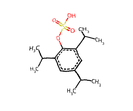 CC(C)c1cc(C(C)C)c(OS(=O)(=O)O)c(C(C)C)c1